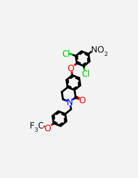 O=C1c2ccc(Oc3c(Cl)cc([N+](=O)[O-])cc3Cl)cc2CCN1Cc1ccc(OC(F)(F)F)cc1